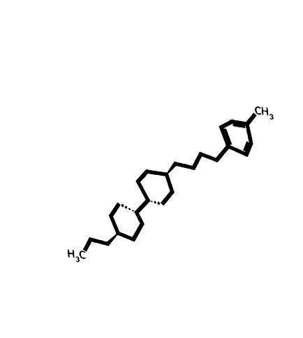 CCC[C@H]1CC[C@H]([C@H]2CC[C@H](CCCCc3ccc(C)cc3)CC2)CC1